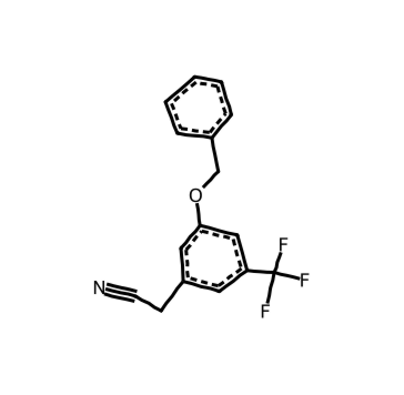 N#CCc1cc(OCc2ccccc2)cc(C(F)(F)F)c1